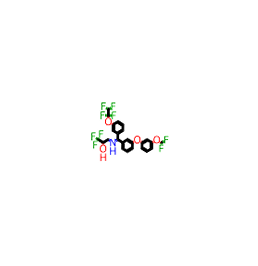 OC(CNC(c1cccc(Oc2cccc(OC(F)F)c2)c1)c1cccc(OC(F)(F)C(F)F)c1)C(F)(F)F